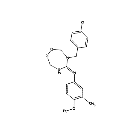 CCOc1ccc(/N=C2\NCOOCN2Cc2ccc(Cl)cc2)cc1C